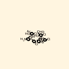 CC(=O)c1cc(Cl)cc(NCc2cc(N)ccc2Sc2ccc(Cl)cc2)c1O.O=CCc1cc(Cl)cc(NCc2ccccc2S(=O)(=O)c2ccc(Cl)cc2)c1O